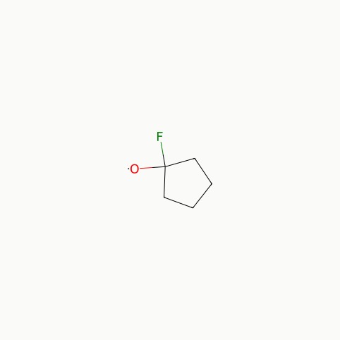 [O]C1(F)CCCC1